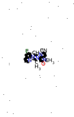 C[C@H]1CN(c2cc(=O)n(C)c3ccc(C#N)nc23)[C@@H](C)CN1c1cc(F)cc2cccnc12